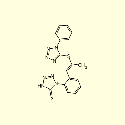 C/C(=C\c1ccccc1-n1nn[nH]c1=S)Sc1nnnn1-c1ccccc1